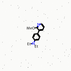 CCN(CC)c1ccc(-c2cccnc2OC)cc1